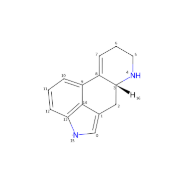 C1=C2C[C@H]3NCCC=C3c3cccc(c32)[N]1